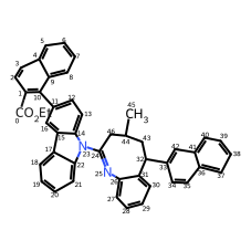 CCOC(=O)c1ccc2ccccc2c1-c1ccc2c(c1)c1ccccc1n2/C1=N/c2ccccc2C(c2ccc3ccccc3c2)CC(C)C1